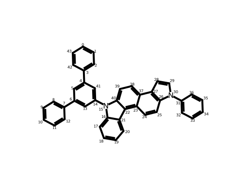 c1ccc(-c2cc(-c3ccccc3)cc(-n3c4ccccc4c4c5ccc6c(ccn6-c6ccccc6)c5ccc43)c2)cc1